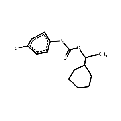 CC(OC(=O)Nc1ccc(Cl)cc1)C1CCCCC1